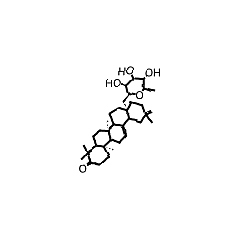 CC1O[C@@H](C[C@@]23CCC4C(=CCC5[C@@]4(C)CCC4C(C)(C)C(=O)CC[C@@]45C)C2CC(C)(C)CC3)[C@@H](O)C(O)[C@H]1O